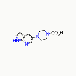 O=C(O)N1CCN(c2cnc3[nH]ccc3c2)CC1